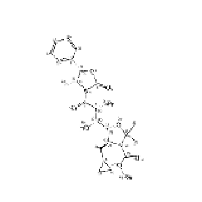 CC(C)[C@@H](C(=O)N1C(=O)O[C@@H](c2ccccc2)[C@H]1C)[C@@H](O)[C@@H]1OC(C)(C)N(C(=O)OC(C)(C)C)[C@H]1CC1CC1